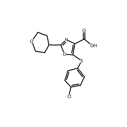 O=C(O)c1nc(C2CCOCC2)oc1Sc1ccc(Cl)cc1